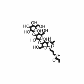 CCC(=O)NCCCO[C@@H]1OC(CO)[C@@H](O[C@@H]2OC(CO)[C@H](O)C(O[C@H]3OC(CO)[C@H](O)C(O)C3O)C2O)C(O)C1NC(C)=O